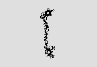 Cc1ccc(S(=O)(=O)OCCOCCOCCOCCOCCOc2ncc(Br)cc2C#N)cc1